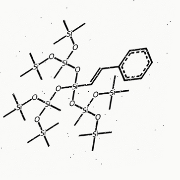 C[Si](C)(C)O[Si](C)(O[Si](C)(C)C)O[Si](C=Cc1ccccc1)(O[Si](C)(O[Si](C)(C)C)O[Si](C)(C)C)O[Si](C)(O[Si](C)(C)C)O[Si](C)(C)C